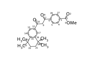 COC(=O)c1ccc(C(=O)CC(=O)c2ccc3c(c2)C(C)(C)CCC3(C)C)cc1